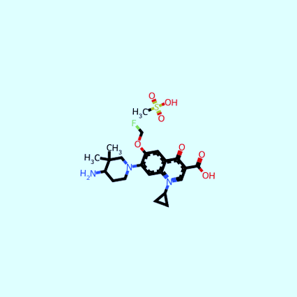 CC1(C)CN(c2cc3c(cc2OCF)c(=O)c(C(=O)O)cn3C2CC2)CCC1N.CS(=O)(=O)O